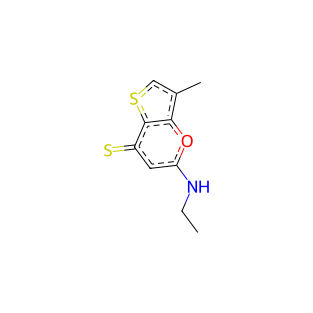 CCNc1cc(=S)c2scc(C)c2o1